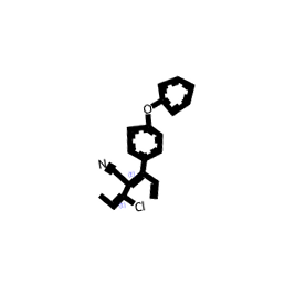 C=C/C(=C(C#N)\C(Cl)=C/C)c1ccc(Oc2ccccc2)cc1